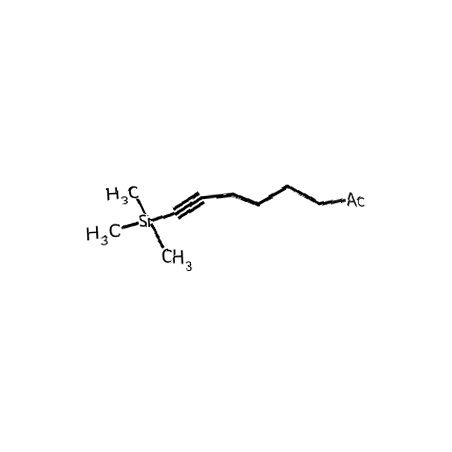 CC(=O)CCCCC#C[Si](C)(C)C